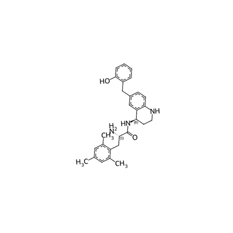 Cc1cc(C)c(C[C@H](N)C(=O)N[C@@H]2CCNc3ccc(Cc4ccccc4O)cc32)c(C)c1